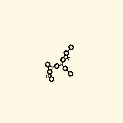 CC1(C)c2cc(-c3ccccc3)ccc2-c2ccc(N(c3ccc(-c4ccccc4)cc3)c3ccc(-n4c5ccccc5c5cc6oc7ccccc7c6cc54)cc3)cc21